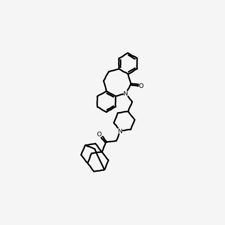 O=C1c2ccccc2CCC2=C(C=CCC2)N1CC1CCN(CC(=O)C23CC4CC(CC(C4)C2)C3)CC1